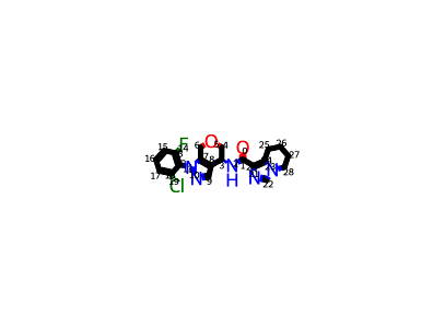 O=C(N[C@@H]1COCc2c1cnn2-c1c(F)cccc1Cl)c1ncn2c1CCCC2